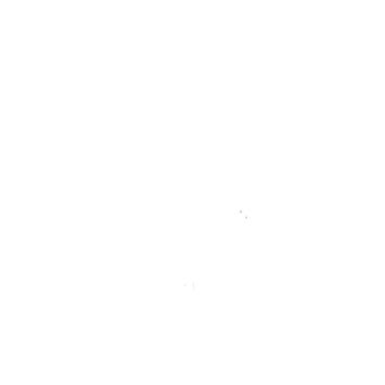 Cc1nc2ccccc2c(C)c1Cl